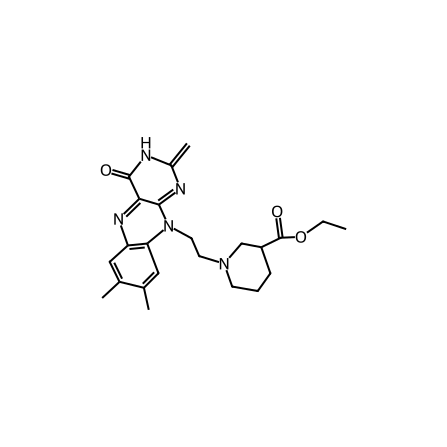 C=c1nc2c(c(=O)[nH]1)=Nc1cc(C)c(C)cc1N2CCN1CCCC(C(=O)OCC)C1